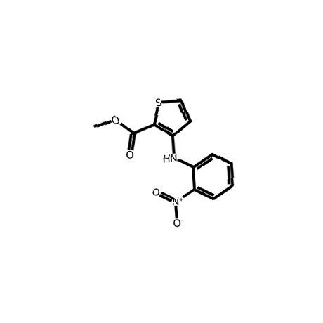 COC(=O)c1sccc1Nc1ccccc1[N+](=O)[O-]